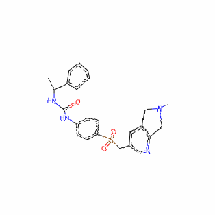 CC(NC(=O)Nc1ccc(S(=O)(=O)Cc2cnc3c(c2)CN(C)C3)cc1)c1ccccc1